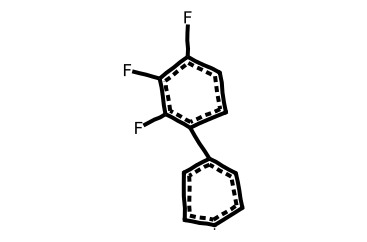 Fc1ccc(-c2cc[c]cc2)c(F)c1F